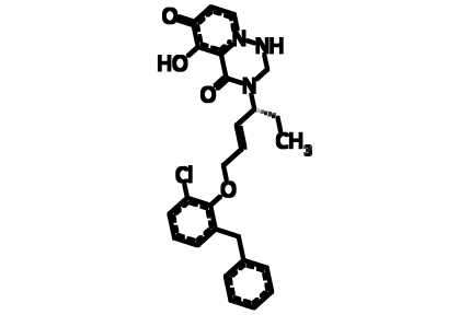 CC[C@H](/C=C/COc1c(Cl)cccc1Cc1ccccc1)N1CNn2ccc(=O)c(O)c2C1=O